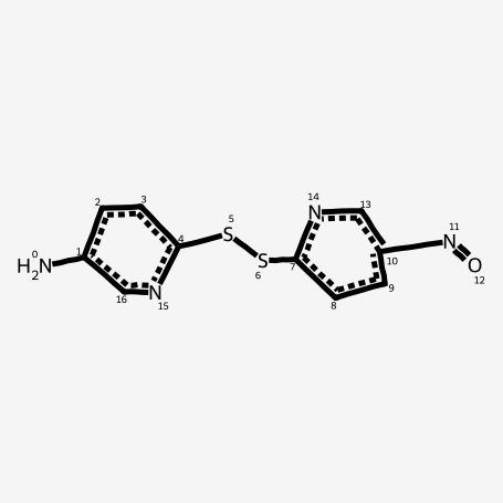 Nc1ccc(SSc2ccc(N=O)cn2)nc1